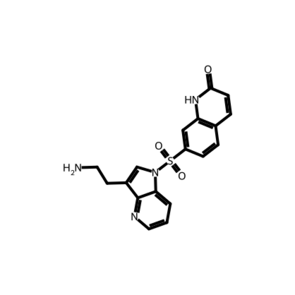 NCCc1cn(S(=O)(=O)c2ccc3ccc(=O)[nH]c3c2)c2cccnc12